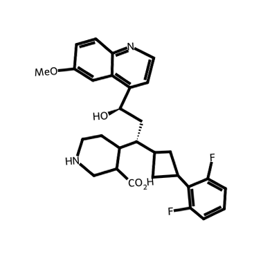 COc1ccc2nccc([C@H](O)C[C@H](C3CC(c4c(F)cccc4F)C3)C3CCNCC3C(=O)O)c2c1